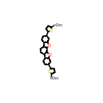 CCCCCCCCCCc1ccc(-c2ccc3c(c2)oc2c3ccc3c4ccc(-c5ccc(CCCCCCCCCC)s5)cc4oc32)s1